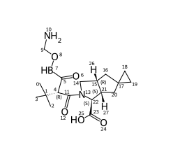 CC(C)(C)[C@H](C(=O)BOCN)C(=O)N1C[C@@H]2CC3(CC3)C[C@@H]2[C@H]1C(=O)O